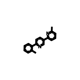 Cc1cccc(-c2ccc(-c3ccccc3C)nc2)n1